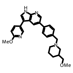 COCC1CCCN(Cc2ccc(-c3cnc4[nH]cc(-c5ccc(OC)nc5)c4c3)cc2)C1